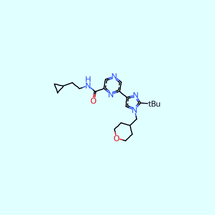 CC(C)(C)c1nc(-c2cncc(C(=O)NCCC3CC3)n2)cn1CC1CCOCC1